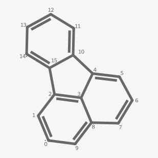 [c]1cc2c3c(cccc3c1)-c1ccc[c]c1-2